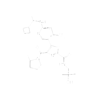 CC(Nc1cc(C(F)(F)F)c(-c2sc(C(=O)NCC(C)(C)O)nc2C(=O)N2CCCC2C)cn1)C1CCC1